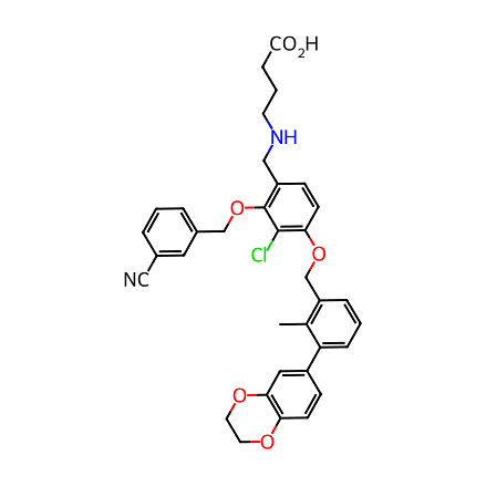 Cc1c(COc2ccc(CNCCCC(=O)O)c(OCc3cccc(C#N)c3)c2Cl)cccc1-c1ccc2c(c1)OCCO2